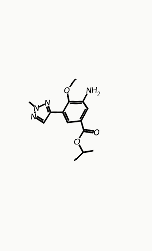 COc1c(N)cc(C(=O)OC(C)C)cc1-c1cnn(C)n1